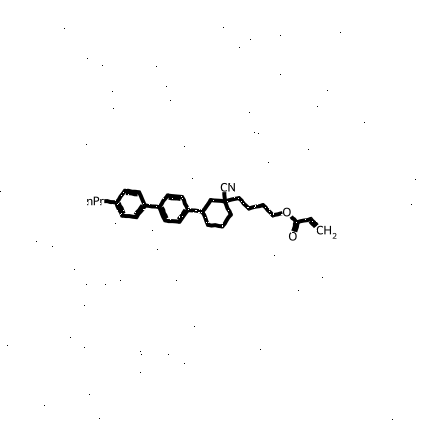 C=CC(=O)OCCCCC1(C#N)CCCC(c2ccc(-c3ccc(CCC)cc3)cc2)C1